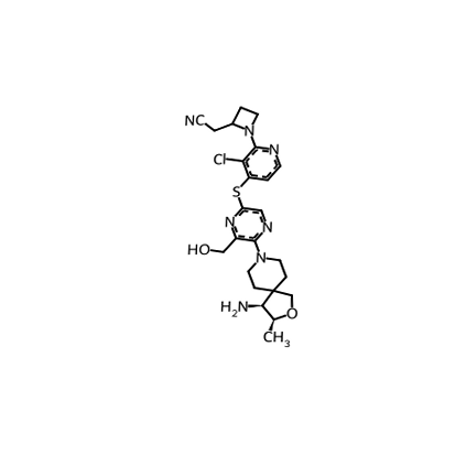 C[C@@H]1OCC2(CCN(c3ncc(Sc4ccnc(N5CCC5CC#N)c4Cl)nc3CO)CC2)[C@@H]1N